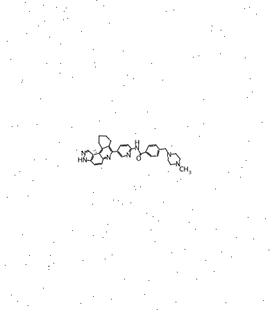 CN1CCN(Cc2ccc(C(=O)Nc3ccc(-c4nc5ccc6[nH]ncc6c5c5c4CCCC5)cn3)cc2)CC1